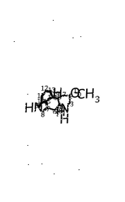 COC1CN[C@@H]2Cc3c[nH]c4cccc(c34)[C@H]2C1